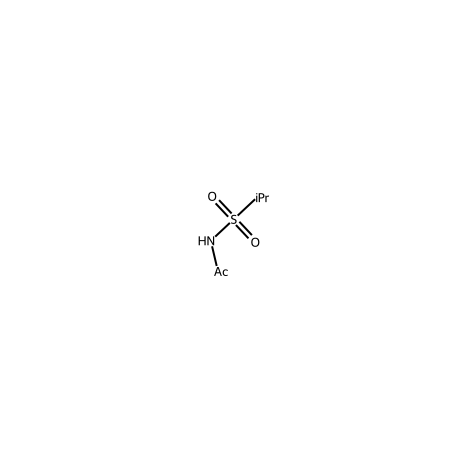 [CH2]C(=O)NS(=O)(=O)C(C)C